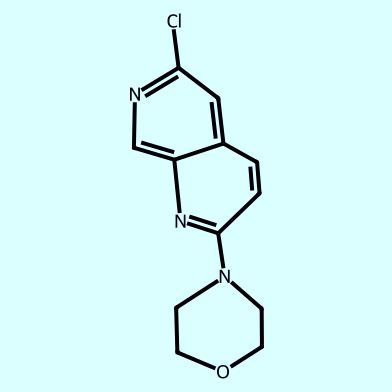 Clc1cc2ccc(N3CCOCC3)nc2cn1